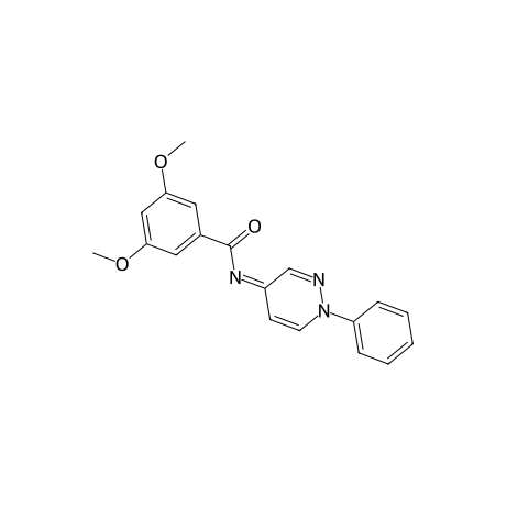 COc1cc(OC)cc(C(=O)N=c2ccn(-c3ccccc3)nc2)c1